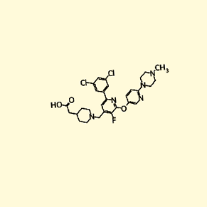 CN1CCN(c2ccc(Oc3nc(-c4cc(Cl)cc(Cl)c4)cc(CN4CCC(CC(=O)O)CC4)c3F)cn2)CC1